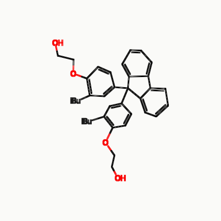 CCC(C)c1cc(C2(c3ccc(OCCO)c(C(C)CC)c3)c3ccccc3-c3ccccc32)ccc1OCCO